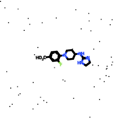 O=C(O)c1ccc(N2CCC(NC3=NCCN3)CC2)c(F)c1